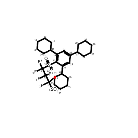 O=S(=O)(O)C(F)(F)C(F)(F)C(F)(F)S(=O)(=O)c1c(C2CCCCC2)cc(C2CCCCC2)cc1C1CCCCC1